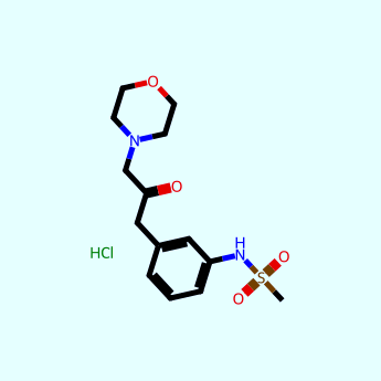 CS(=O)(=O)Nc1cccc(CC(=O)CN2CCOCC2)c1.Cl